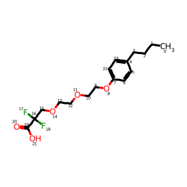 CCCCc1ccc(OCCOCCOCC(F)(F)C(=O)O)cc1